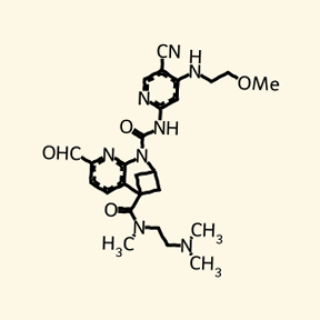 COCCNc1cc(NC(=O)N2c3nc(C=O)ccc3C3(C(=O)N(C)CCN(C)C)CC2C3)ncc1C#N